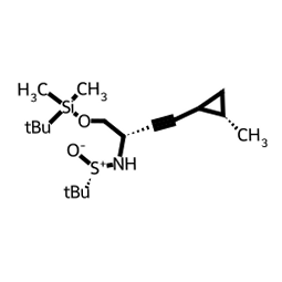 C[C@H]1CC1C#C[C@@H](CO[Si](C)(C)C(C)(C)C)N[S@@+]([O-])C(C)(C)C